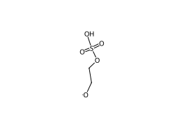 [O]CCOS(=O)(=O)O